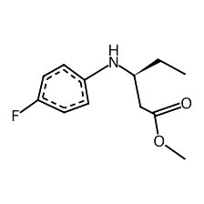 CC[C@@H](CC(=O)OC)Nc1ccc(F)cc1